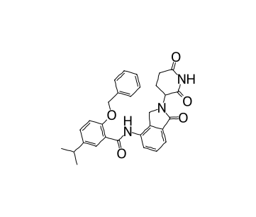 CC(C)c1ccc(OCc2ccccc2)c(C(=O)Nc2cccc3c2CN(C2CCC(=O)NC2=O)C3=O)c1